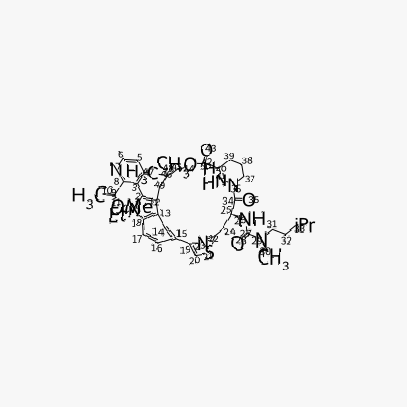 CCn1c(-c2cccnc2[C@H](C)OC)c2c3cc(ccc31)-c1csc(n1)C[C@H](NC(=O)N(C)CCC(C)C)C(=O)N1CCC[C@H](N1)C(=O)OCC(C)(C)C2